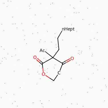 CCCCCCCCCC1(C(C)=O)C(=O)CCOC1=O